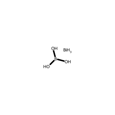 OB(O)O.[BiH3]